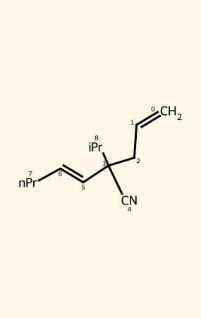 C=CCC(C#N)(C=CCCC)C(C)C